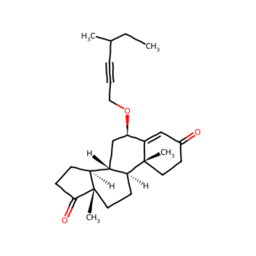 CCC(C)C#CCO[C@@H]1C[C@@H]2[C@H](CC[C@]3(C)C(=O)CC[C@@H]23)[C@@]2(C)CCC(=O)C=C12